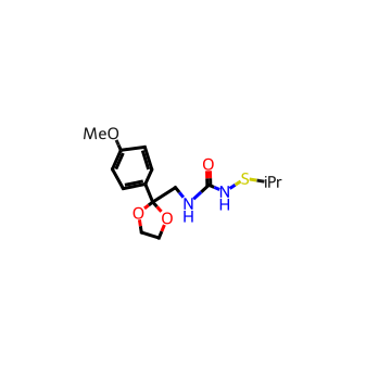 COc1ccc(C2(CNC(=O)NSC(C)C)OCCO2)cc1